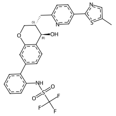 Cc1cnc(-c2ccc(C[C@H]3COc4cc(-c5ccccc5NS(=O)(=O)C(F)(F)F)ccc4[C@@H]3O)nc2)s1